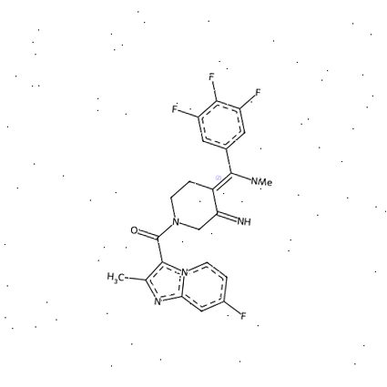 CN/C(=C1/CCN(C(=O)c2c(C)nc3cc(F)ccn23)CC1=N)c1cc(F)c(F)c(F)c1